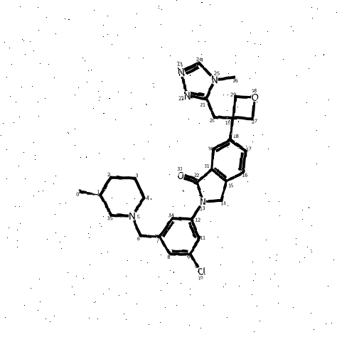 C[C@H]1CCCN(Cc2cc(Cl)cc(N3Cc4ccc(C5(Cc6nncn6C)COC5)cc4C3=O)c2)C1